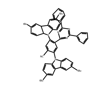 CC(C)(C)C1=CC2c3cc(C(C)(C)C)ccc3N(c3cc(C#N)c(-n4c5ccc(C(C)(C)C)cc5c5cc(C(C)(C)C)ccc54)cc3-c3nc(-c4ccccc4)nc(-c4ccccc4)n3)C2C=C1